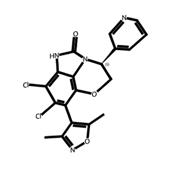 Cc1noc(C)c1-c1c(Cl)c(Cl)c2[nH]c(=O)n3c2c1OC[C@@H]3c1cccnc1